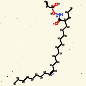 C=CC(=O)ONC(=O)C(CCC)CCCCCCCCCC/C=C\CCCCCCCC